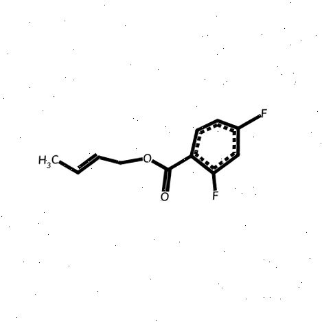 CC=CCOC(=O)c1ccc(F)cc1F